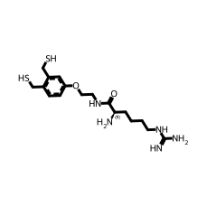 N=C(N)NCCCC[C@@H](N)C(=O)NCCOc1ccc(CS)c(CS)c1